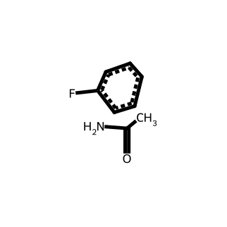 CC(N)=O.Fc1ccccc1